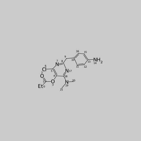 CCC(=O)Oc1c(Cl)nc(Cc2ccc(N)cc2)nc1N(C)C